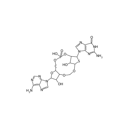 Nc1nc2c(ncn2C2SC3OCOC4C(COP(=O)(O)OC2C3O)OC(n2cnc3c(N)ncnc32)C4O)c(=O)[nH]1